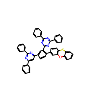 c1ccc(-c2cc(-c3ccc(-c4ccc5c(c4)Oc4ccccc4S5)c(-c4nc(-c5ccccc5)nc(-c5ccccc5)n4)c3)nc(-c3ccccc3)n2)cc1